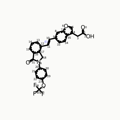 O=C(O)Cc1coc2cc(/C=C/c3cccc4c3CN(c3ccc(OC(F)(F)F)cc3)C4=O)ccc12